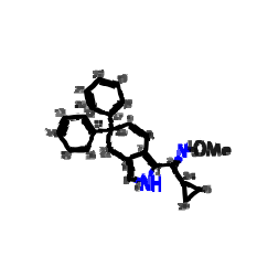 CON=C(c1[nH]cc2c1C=CC(c1ccccc1)(c1ccccc1)C2)C1CC1